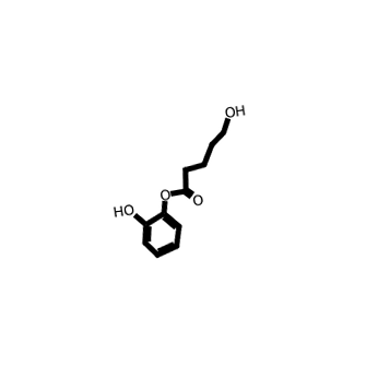 O=C(CCCCO)Oc1ccccc1O